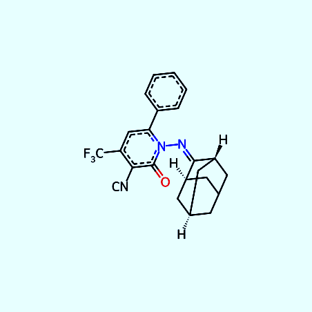 [C-]#[N+]c1c(C(F)(F)F)cc(-c2ccccc2)n(N=C2[C@H]3CC4C[C@@H](C3)C[C@H]2C4)c1=O